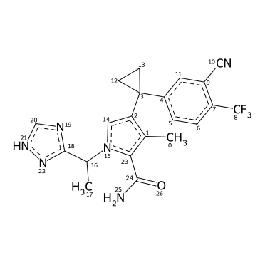 Cc1c(C2(c3ccc(C(F)(F)F)c(C#N)c3)CC2)cn(C(C)c2nc[nH]n2)c1C(N)=O